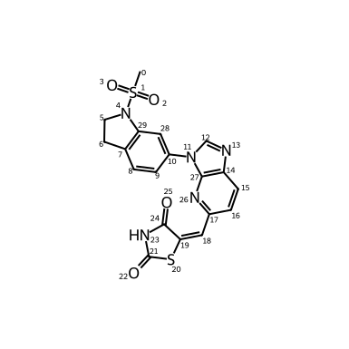 CS(=O)(=O)N1CCc2ccc(-n3cnc4ccc(C=C5SC(=O)NC5=O)nc43)cc21